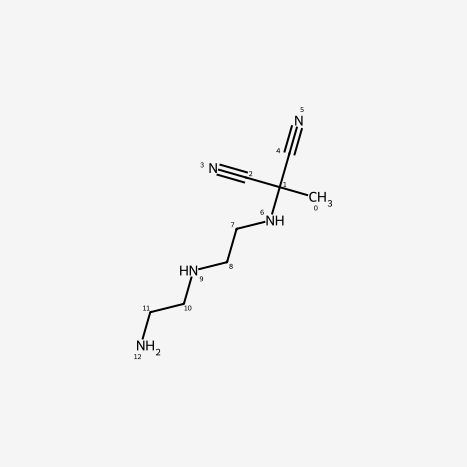 CC(C#N)(C#N)NCCNCCN